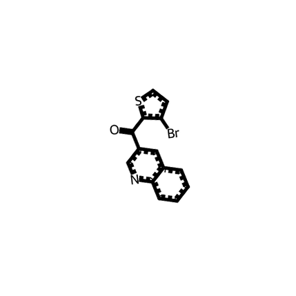 O=C(c1cnc2ccccc2c1)c1sccc1Br